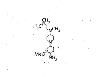 COc1cc(N2CCC(N(C)CCP(C)C)CC2)ccc1N